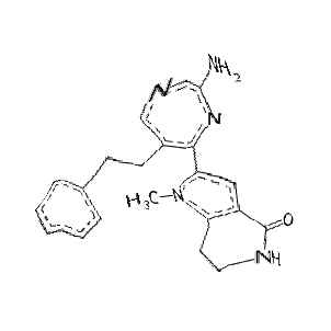 Cn1c(-c2nc(N)ncc2CCc2ccccc2)cc2c1CCNC2=O